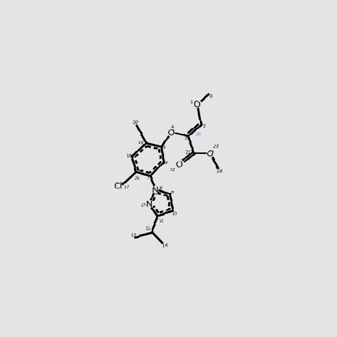 CO/C=C(\Oc1cc(-n2ccc(C(C)C)n2)c(Cl)cc1C)C(=O)OC